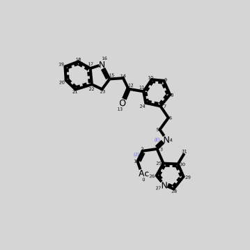 CC(=O)/C=C\C(=N/CCc1cccc(C(=O)CC2=Nc3ccccc3C2)c1)c1cnccc1C